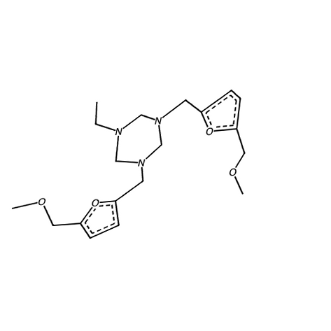 CCN1CN(Cc2ccc(COC)o2)CN(Cc2ccc(COC)o2)C1